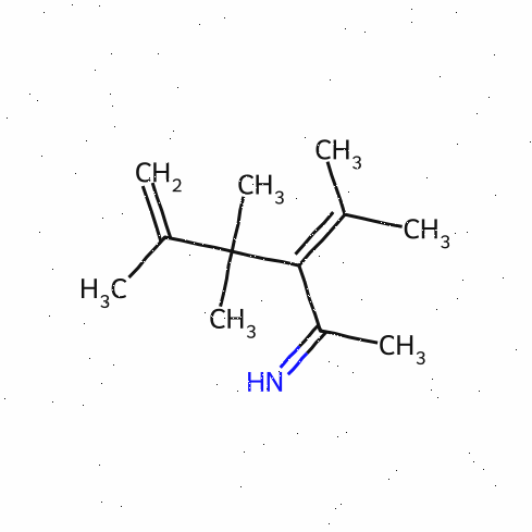 C=C(C)C(C)(C)C(C(C)=N)=C(C)C